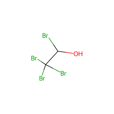 OC(Br)C(Br)(Br)Br